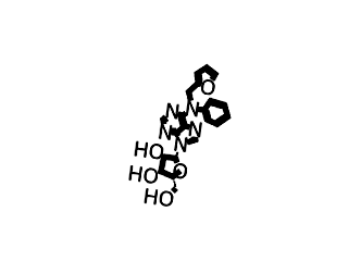 OC[C@H]1O[C@@H](n2cnc3c(N(Cc4ccco4)c4ccccc4)ncnc32)[C@@H](O)[C@@H]1O